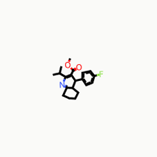 COC(=O)C1=C(C(C)C)N=C2CCCCC2C1c1ccc(F)cc1